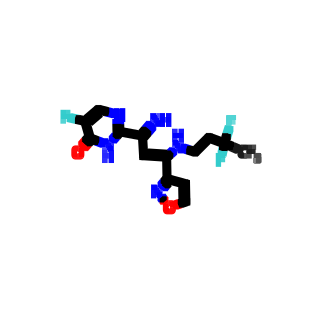 N=C(/C=C(\NCCC(F)(F)C(F)(F)F)c1ccon1)c1ncc(F)c(=O)[nH]1